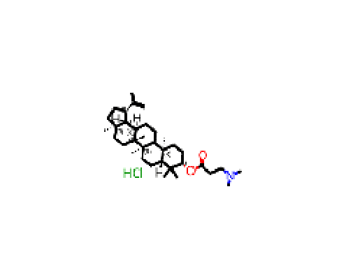 C=C(C)[C@@H]1CC[C@]2(C)CC[C@]3(C)[C@H](CCC4[C@@]5(C)CC[C@H](OC(=O)CCN(C)C)C(C)(C)[C@@H]5CC[C@]43C)[C@@H]12.Cl